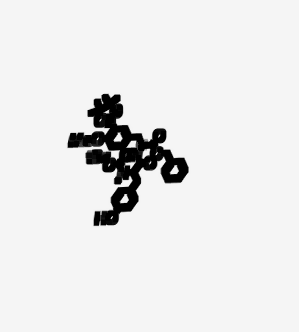 COc1ccc(C[C@H](NC(=O)C(Cc2ccc(O)cc2)N(C)C(=O)OC(C)(C)C)C(=O)OCc2ccccc2)cc1B1OC(C)(C)C(C)(C)O1